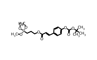 CO[Si](CCCOC(=O)C=Cc1ccc(OC(=O)OC(C)(C)C)cc1)(OC)OC